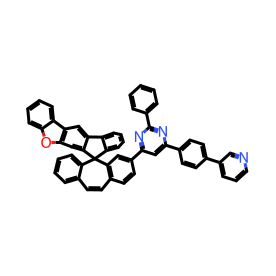 C1=Cc2ccc(-c3cc(-c4ccc(-c5cccnc5)cc4)nc(-c4ccccc4)n3)cc2C2(c3ccccc31)c1ccccc1-c1cc3c(cc12)oc1ccccc13